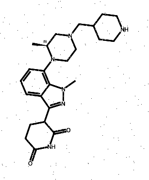 C[C@H]1CN(CC2CCNCC2)CCN1c1cccc2c(C3CCC(=O)NC3=O)nn(C)c12